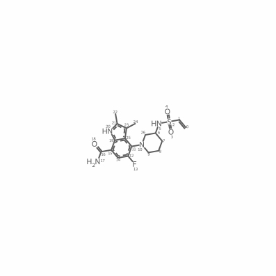 C=CS(=O)(=O)NC1CCCN(c2c(F)cc(C(N)=O)c3[nH]c(C)c(C)c23)C1